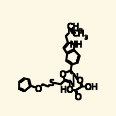 CN(C)Cc1cc2cc(-c3nnc(CSCCOc4ccccc4)o3)ccc2[nH]1.O=C(O)C(=O)O